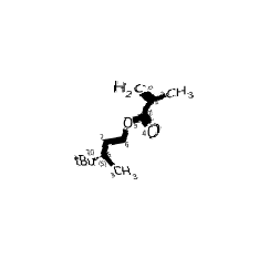 C=C(C)C(=O)OCC[C@H](C)C(C)(C)C